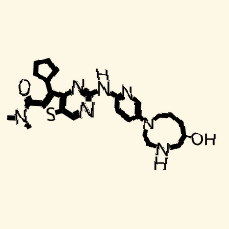 CN(C)C(=O)c1sc2cnc(Nc3ccc(N4CCC[C@@H](O)CNCC4)cn3)nc2c1C1CCCC1